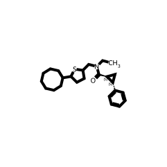 CCN(CC1CCC(C2CCCCCCC2)S1)C(=O)[C@H]1C[C@@H]1c1ccccc1